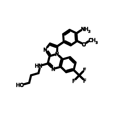 COc1cc(-c2cnc3c(NCCCO)nc4cc(C(F)(F)F)ccc4n23)ccc1N